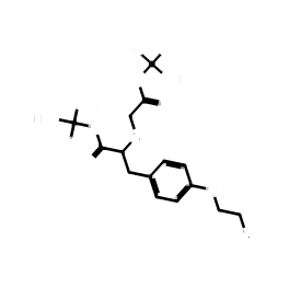 CC(C)(C)OC(=O)CNC(Cc1ccc(OCCN)cc1)C(=O)OC(C)(C)C